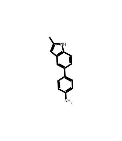 Cc1cc2cc(-c3ccc(N)cc3)ccc2[nH]1